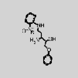 NC(CCNc1ccccc1[N+](=O)[O-])C(O)COc1ccccc1